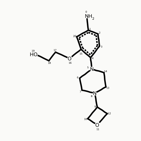 Nc1ccc(N2CCN(C3COC3)CC2)c(OCCO)c1